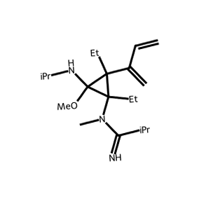 C=CC(=C)C1(CC)C(NC(C)C)(OC)C1(CC)N(C)C(=N)C(C)C